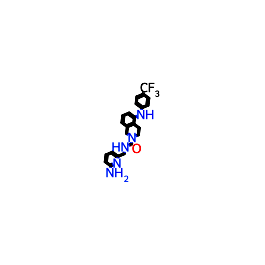 Nc1cccc(CNC(=O)N2CCc3c(cccc3Nc3ccc(C(F)(F)F)cc3)C2)n1